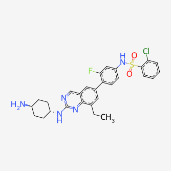 CCc1cc(-c2ccc(NS(=O)(=O)c3ccccc3Cl)cc2F)cc2cnc(N[C@H]3CC[C@H](N)CC3)nc12